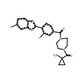 NC1(C(=O)N2CCN(C(=O)c3ccc(-c4nc5ccc(F)cc5o4)c(F)c3)CC2)CC1